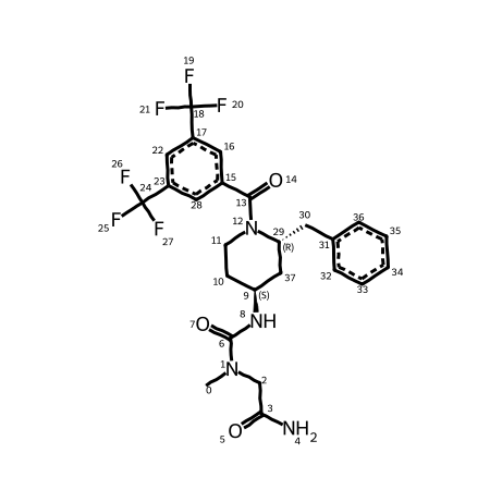 CN(CC(N)=O)C(=O)N[C@H]1CCN(C(=O)c2cc(C(F)(F)F)cc(C(F)(F)F)c2)[C@H](Cc2ccccc2)C1